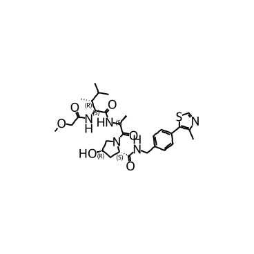 COCC(=O)N[C@H](C(=O)N[C@@H](C)C(=O)N1C[C@H](O)C[C@H]1C(=O)NCc1ccc(-c2scnc2C)cc1)[C@H](C)C(C)C